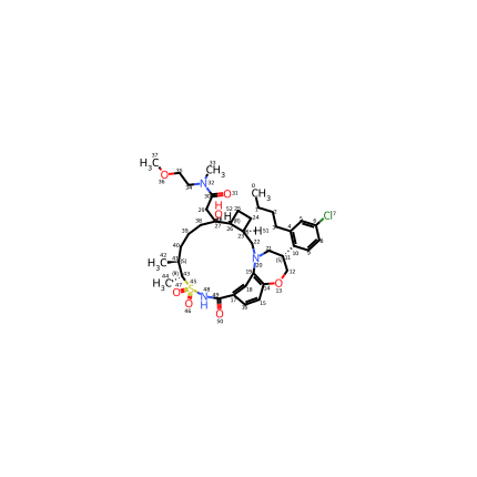 CCCCc1cc(Cl)ccc1[C@@H]1COc2ccc3cc2N(C1)C[C@@H]1CC[C@H]1[C@@](O)(CC(=O)N(C)CCOC)CCC[C@H](C)[C@@H](C)S(=O)(=O)NC3=O